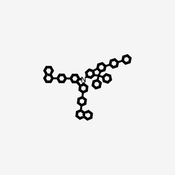 c1ccc(-c2ccc(-c3ccc4c(c3)C(c3ccccc3)(c3ccccc3)c3cc(-n5c6ccc(-c7ccc(-c8cccc9ccccc89)cc7)cc6c6cc(-c7ccc(-c8cccc9ccccc89)cc7)ccc65)ccc3-4)cc2)cc1